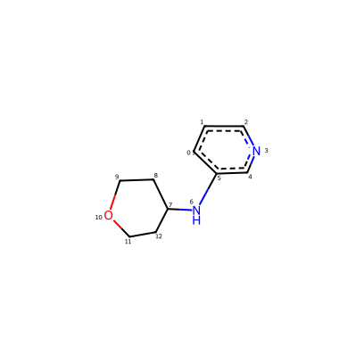 [c]1ccncc1NC1CCOCC1